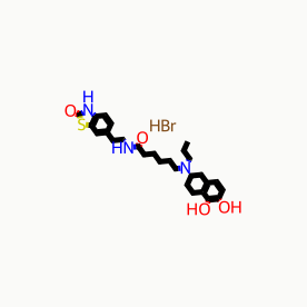 Br.CCCN(CCCCCC(=O)NCCc1ccc2[nH]c(=O)sc2c1)[C@H]1CCc2c(ccc(O)c2O)C1